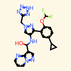 OC(Nc1cn(Cc2nn[nH]n2)nc1-c1cc(C2CC2)ccc1OC(F)F)c1cnn2cccnc12